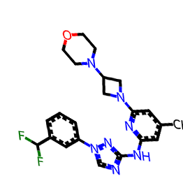 Cc1cc(Nc2ncn(-c3cccc(C(F)F)c3)n2)nc(N2CC(N3CCOCC3)C2)c1